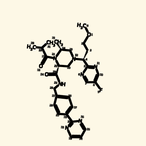 COCC[C@H](c1ncc(F)cn1)N1C[C@@H](C)N(C(=O)C(C)C)[C@@H](C(=O)NCc2ccc(-c3ncccn3)cc2)C1